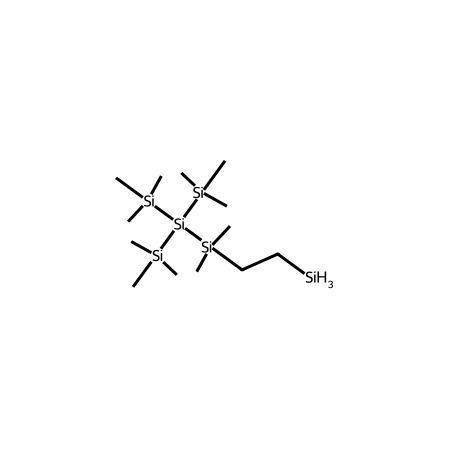 C[Si](C)(C)[Si]([Si](C)(C)C)([Si](C)(C)C)[Si](C)(C)CC[SiH3]